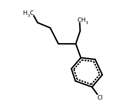 CCCCC(CC)c1ccc(Cl)cc1